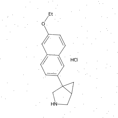 CCOc1ccc2cc(C34CNCC3C4)ccc2c1.Cl